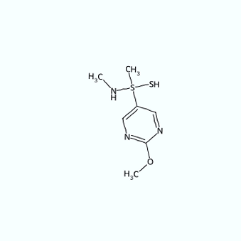 CNS(C)(S)c1cnc(OC)nc1